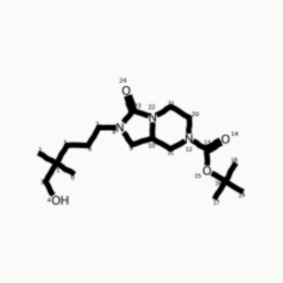 CC(C)(CO)CCCN1CC2CN(C(=O)OC(C)(C)C)CCN2C1=O